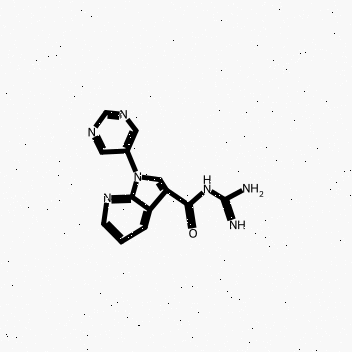 N=C(N)NC(=O)c1cn(-c2cncnc2)c2ncccc12